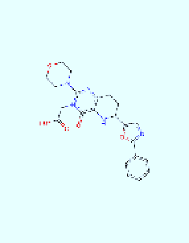 O=C(O)Cn1c(N2CCOCC2)nc2c(c1=O)NC(c1cnc(-c3ccccc3)o1)CC2